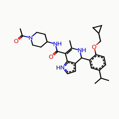 CC(=O)N1CCC(NC(=O)C2=C(C)NC(c3cc(C(C)C)ccc3OCC3CC3)c3cc[nH]c32)CC1